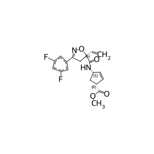 C=C[C@]1(C(=O)N[C@@H]2C=C[C@H](C(=O)OC)C2)CC(c2cc(F)cc(F)c2)=NO1